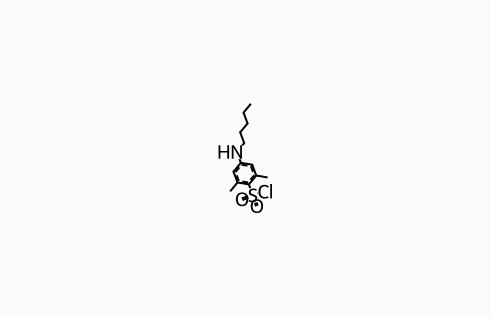 CCCCCNc1cc(C)c(S(=O)(=O)Cl)c(C)c1